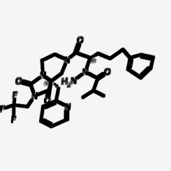 CC(C)C(=O)N(N)[C@H](CCCc1ccccc1)C(=O)N1CCN2C(=O)N(CC(F)(F)F)C(=O)[C@]2(Cc2ccccn2)C1